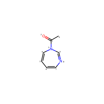 CC(=O)N1C=CC=CN=C1